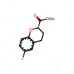 COC(=O)[C@H]1CCc2cc(I)ccc2O1